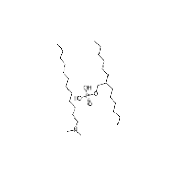 CCCCCCC(CCCCCC)COP(=O)(O)O.CCCCCCCCCCCCN(C)C